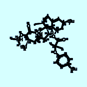 C[C@H]1C=CC2=C[C@@H](C(C)(C)C)C[C@H](OC(=O)C(C)(C)Oc3ccc(C(C)(C)C)cc3)[C@@H]2[C@@]1(CC[C@@H]1C[C@H](C(C)(C)C)C(O[SiH](C)C)C(=O)O1)O[SiH](C)C